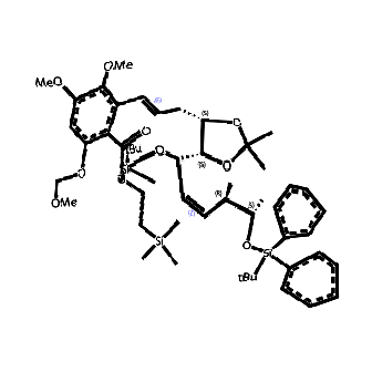 COCOc1cc(OC)c(OC)c(/C=C/C[C@@H]2OC(C)(C)O[C@@H]2C(/C=C\[C@@H](C)[C@H](C)O[Si](c2ccccc2)(c2ccccc2)C(C)(C)C)O[Si](C)(C)C(C)(C)C)c1C(=O)OCC[Si](C)(C)C